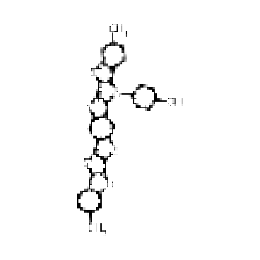 Cc1ccc2c(c1)oc1c2sc2c3cc4sc5c6sc7cc(C)ccc7c6n(-c6ccc(O)cc6)c5c4cc3sc12